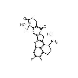 CC[C@@]1(O)C(=O)OCc2c1cc1n(c2=O)Cc2c-1nc1cc(F)c(C)c3c1c2C(N)CC3.Cl